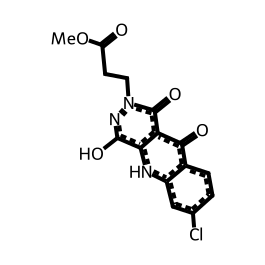 COC(=O)CCn1nc(O)c2[nH]c3cc(Cl)ccc3c(=O)c2c1=O